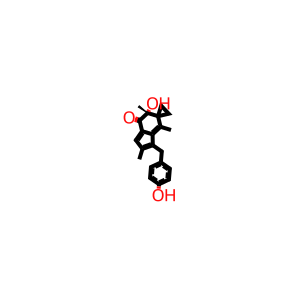 CC1=C(Cc2ccc(O)cc2)C2=C(C)C3(CC3)[C@@](C)(O)C(=O)C2=C1